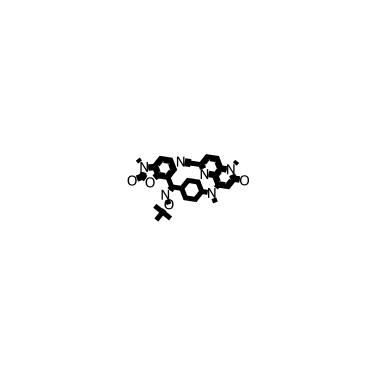 CN(c1cc(=O)n(C)c2ccc(C#N)nc12)C1CCC(/C(=N\OC(C)(C)C)c2cccc3c2oc(=O)n3C)CC1